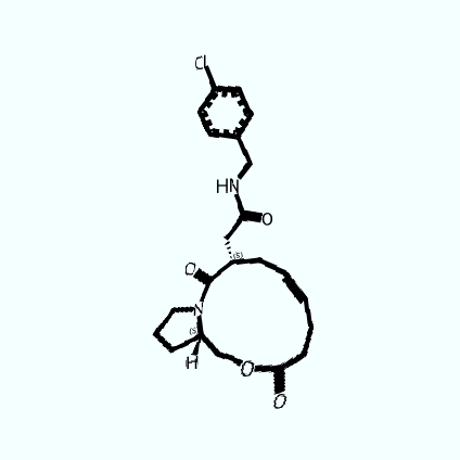 O=C(C[C@@H]1CC=CCCC(=O)OC[C@@H]2CCCN2C1=O)NCc1ccc(Cl)cc1